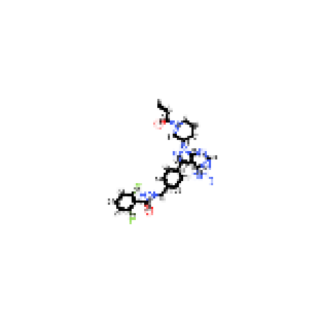 C=CC(=O)N1CCCC(n2nc(-c3ccc(CNC(=O)c4c(F)cccc4F)cc3)c3c(N)ncnc32)C1